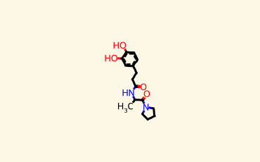 CC(NC(=O)CCc1ccc(O)c(O)c1)C(=O)N1CCCC1